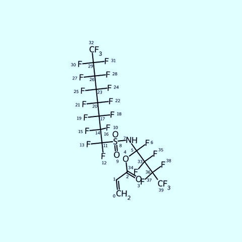 C=CC(=O)OC(F)(NS(=O)(=O)C(F)(F)C(F)(F)C(F)(F)C(F)(F)C(F)(F)C(F)(F)C(F)(F)C(F)(F)F)C(F)(F)C(F)(F)C(F)(F)F